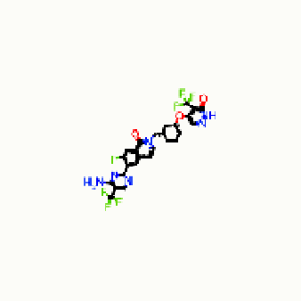 Nc1nc(-c2cc3ccn(C[C@@H]4CCC[C@H](Oc5cn[nH]c(=O)c5C(F)(F)F)C4)c(=O)c3cc2F)ncc1C(F)(F)F